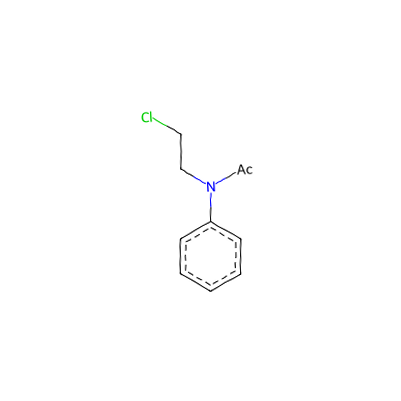 CC(=O)N(CCCl)c1ccccc1